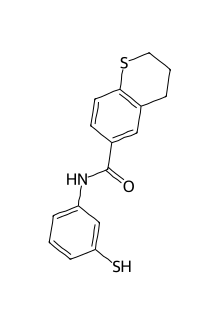 O=C(Nc1cccc(S)c1)c1ccc2c(c1)CCCS2